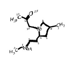 CNCCC1CC(C)CN1CC(C)=O